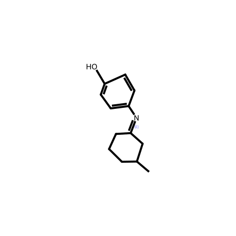 CC1CCC/C(=N\c2ccc(O)cc2)C1